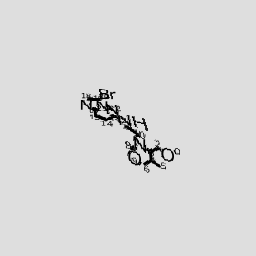 COCC(C(C)C)N(C=O)CCNc1ccc2ncc(Br)n2n1